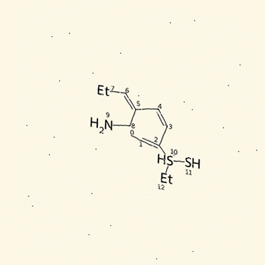 C\C=C(/C=C\C(=C\CC)CN)[SH](S)CC